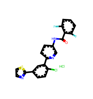 Cl.O=C(Nc1ccc(-c2cc(-c3nccs3)ccc2Cl)nc1)c1c(F)cccc1F